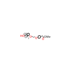 COC(=O)Cc1ccc(OCCCOc2cccc(C(O)(C(F)(F)F)C(F)(F)F)c2)cc1